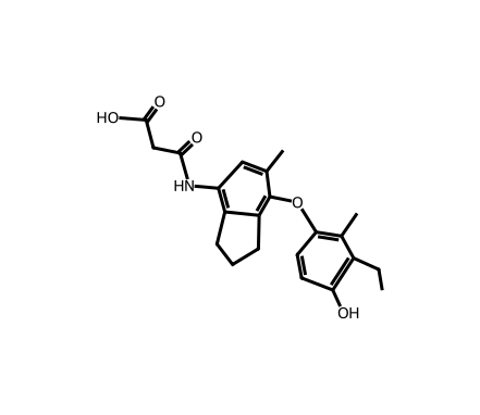 CCc1c(O)ccc(Oc2c(C)cc(NC(=O)CC(=O)O)c3c2CCC3)c1C